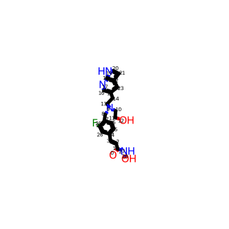 O=C(/C=C/c1ccc(CN(CCO)CCc2cnc3[nH]ccc3c2)c(F)c1)NO